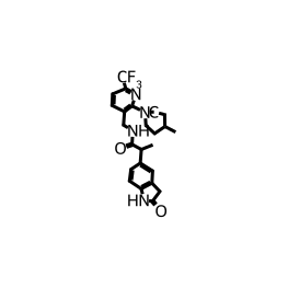 CC1CCN(c2nc(C(F)(F)F)ccc2CNC(=O)C(C)c2ccc3c(c2)CC(=O)N3)CC1